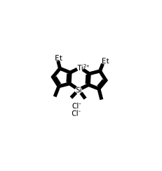 CCC1C=C(C)C2=[C]1[Ti+2][C]1=C(C(C)=CC1CC)[Si]2(C)C.[Cl-].[Cl-]